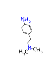 CN(C)CCC1=CCC(N)C=C1